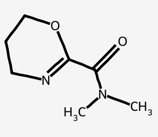 CN(C)C(=O)C1=NCCCO1